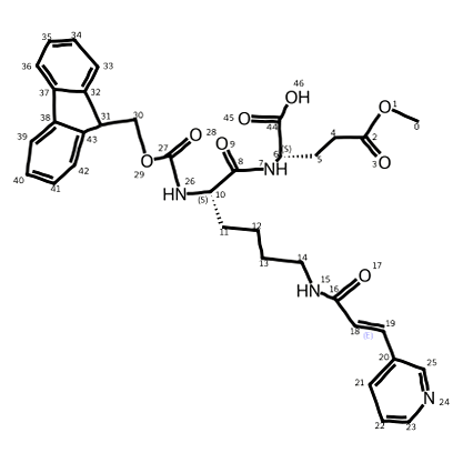 COC(=O)CC[C@H](NC(=O)[C@H](CCCCNC(=O)/C=C/c1cccnc1)NC(=O)OCC1c2ccccc2-c2ccccc21)C(=O)O